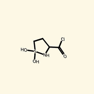 O=C(Cl)C1CCS(O)(O)N1